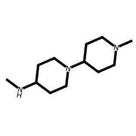 CNC1CCN(C2CCN(C)CC2)CC1